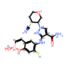 N#C[C@@H]1CCOC[C@H]1n1cc(C(N)=O)c(Nc2cc3c(cc2F)OB(O)C=C3)n1